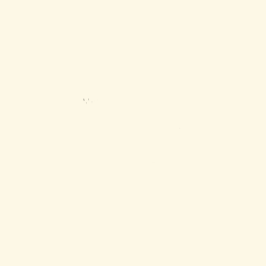 CCc1cc(SC)ccc1Cl